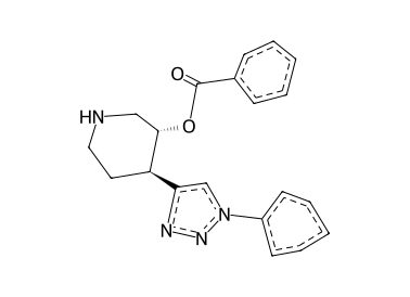 O=C(O[C@H]1CNCC[C@@H]1c1cn(-c2ccccc2)nn1)c1ccccc1